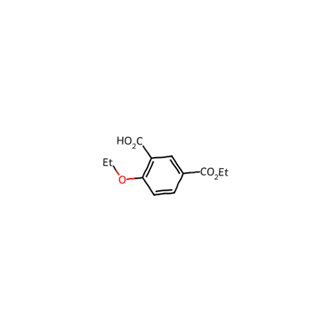 CCOC(=O)c1ccc(OCC)c(C(=O)O)c1